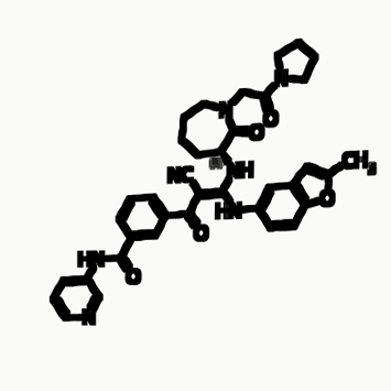 Cc1cc2cc(NC(N[C@H]3CCCCN(CC(=O)N4CCCC4)C3=O)=C(C#N)C(=O)c3cccc(C(=O)Nc4cccnc4)c3)ccc2o1